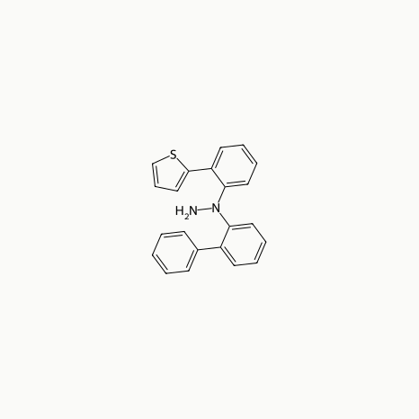 NN(c1ccccc1-c1ccccc1)c1ccccc1-c1cccs1